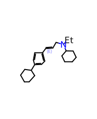 CCN(C/C=C/c1ccc(C2CCCCC2)cc1)C1CCCCC1